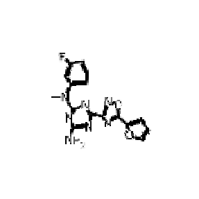 CN(c1cccc(F)c1)c1nc(N)nc(-c2noc(-c3ccco3)n2)n1